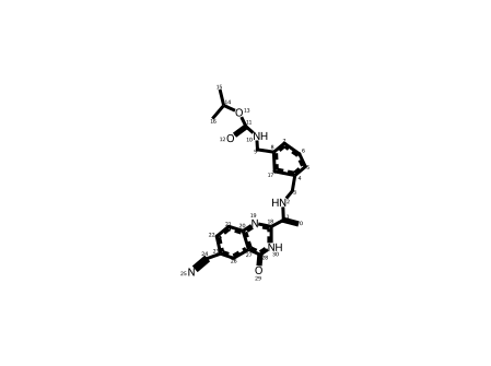 C=C(NCc1cccc(CNC(=O)OC(C)C)c1)c1nc2ccc(C#N)cc2c(=O)[nH]1